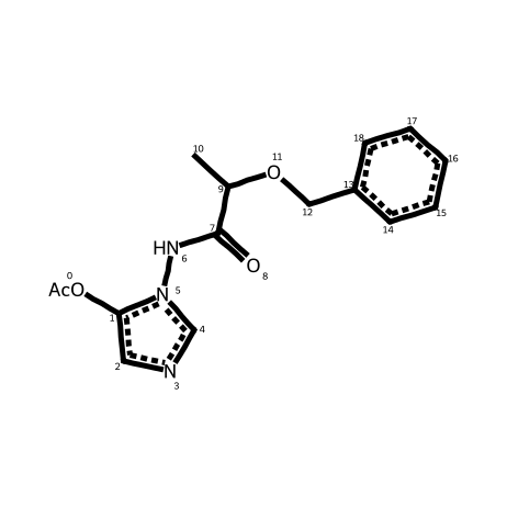 CC(=O)Oc1cncn1NC(=O)C(C)OCc1ccccc1